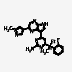 CC[C@@](C)(c1cc(-c2c[nH]c3ncc(-c4cnn(C)c4)nc23)nc(N)n1)c1ccccc1F